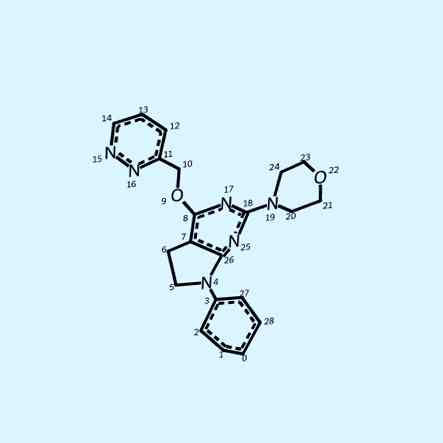 c1ccc(N2CCc3c(OCc4cccnn4)nc(N4CCOCC4)nc32)cc1